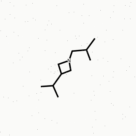 CC(C)CN1CC(C(C)C)C1